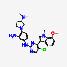 COc1cccc2c(-c3nc(Nc4ccc(N5CC[C@H](N(C)C)C5)c(N)c4)ncc3Cl)cn(C)c12